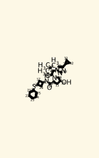 CC(C)(C)[C@@H](C(=O)N1C[C@H](O)C[C@H]1C(=O)N[C@H]1C[C@H](Sc2ccccc2)C1)n1cc(C2CC2)nn1